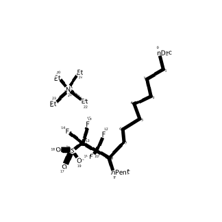 CCCCCCCCCCCCCCCCCC(CCCCC)C(F)(F)C(F)(F)S(=O)(=O)[O-].CC[N+](CC)(CC)CC